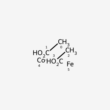 CC(=O)O.CC(=O)O.[Co].[Fe]